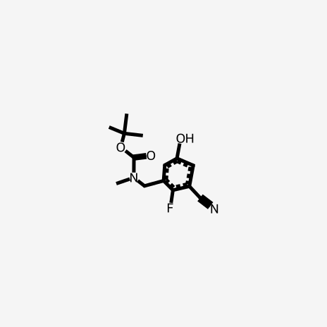 CN(Cc1cc(O)cc(C#N)c1F)C(=O)OC(C)(C)C